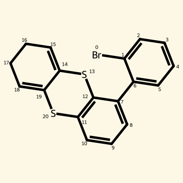 Brc1ccccc1-c1cccc2c1SC1=CCCC=C1S2